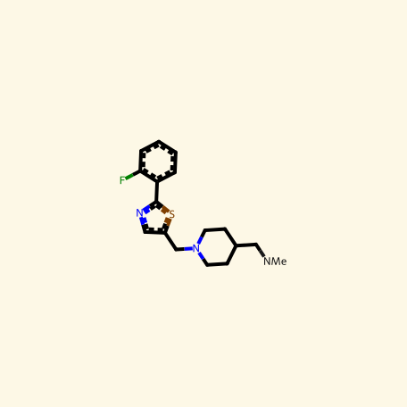 CNCC1CCN(Cc2cnc(-c3ccccc3F)s2)CC1